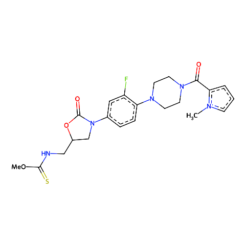 COC(=S)NCC1CN(c2ccc(N3CCN(C(=O)c4cccn4C)CC3)c(F)c2)C(=O)O1